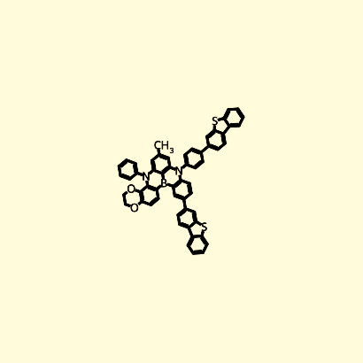 Cc1cc2c3c(c1)N(c1ccccc1)c1c(ccc4c1OCCO4)B3c1cc(-c3ccc4c(c3)sc3ccccc34)ccc1N2c1ccc(-c2ccc3c(c2)sc2ccccc23)cc1